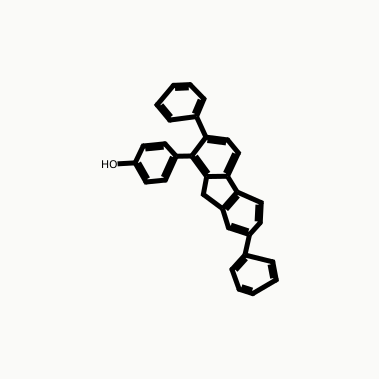 Oc1ccc(-c2c(-c3ccccc3)ccc3c2Cc2cc(-c4ccccc4)ccc2-3)cc1